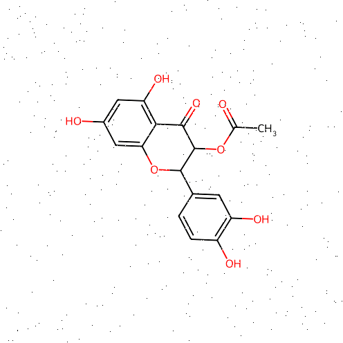 CC(=O)OC1C(=O)c2c(O)cc(O)cc2OC1c1ccc(O)c(O)c1